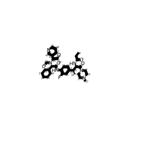 CCC(=O)N[C@@H](C(=O)N1CCN(C)CC1)[C@@H](C)c1ccc(NC(=O)[C@H](C2CCCCC2)N(C=O)c2coc3ccncc23)c(F)c1